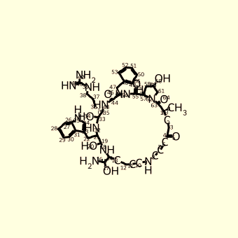 C[C@H]1CCC(=O)CCCNCCCCC(C(N)O)NC(O)C(Cc2c[nH]c3ccccc23)NC(O)[C@H](CCCNC(=N)N)NC(=O)[C@@H](Cc2ccccc2)NC(=O)[C@@H]2C[C@@H](O)CN2C1=O